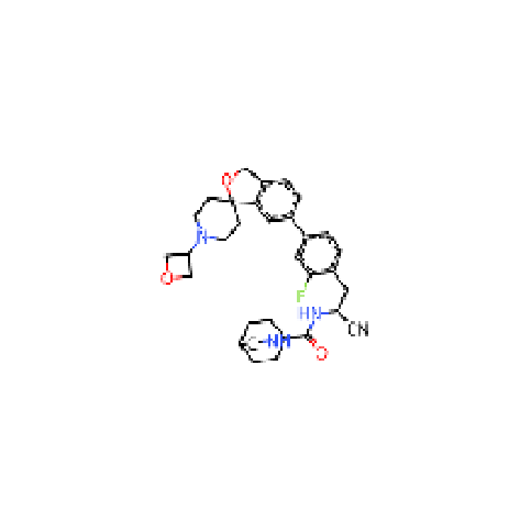 N#C[C@H](Cc1ccc(-c2ccc3c(c2)C2(CCN(C4COC4)CC2)OC3)cc1F)NC(=O)C12CCC(CC1)CN2